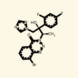 C[C@@H](n1nnc2c(Br)cccc2c1=O)[C@](O)(Cn1cncn1)c1ccc(F)cc1F